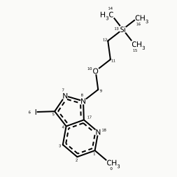 Cc1ccc2c(I)nn(COCC[Si](C)(C)C)c2n1